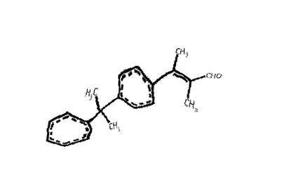 C/C(C=O)=C(/C)c1ccc(C(C)(C)c2ccccc2)cc1